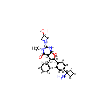 Cn1c(N2CC(O)C2)nc2oc(-c3ccc(C4(N)CCC4)cc3)c(-c3ccccc3)c2c1=O